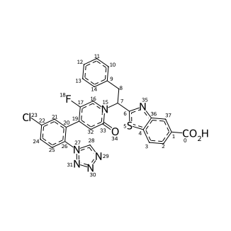 O=C(O)c1ccc2sc(C(Cc3ccccc3)n3cc(F)c(-c4cc(Cl)ccc4-n4cnnn4)cc3=O)nc2c1